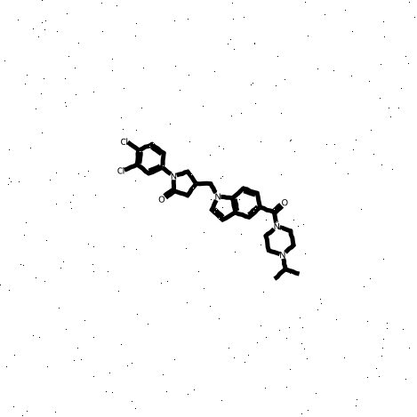 CC(C)N1CCN(C(=O)c2ccc3c(ccn3CC3CC(=O)N(c4ccc(Cl)c(Cl)c4)C3)c2)CC1